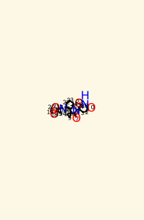 O=C1CCC(N2C(=O)C3(CC3)c3c(N4CCC5(C4)OCCO5)cccc32)C(=O)N1